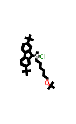 CC(C)(C)OCCCCCC[Si](C)(Cl)C1c2cc(C(C)(C)C)ccc2-c2ccc(C(C)(C)C)cc21